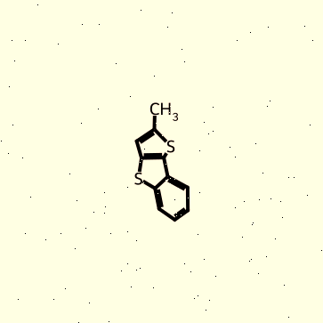 Cc1cc2sc3ccccc3c2s1